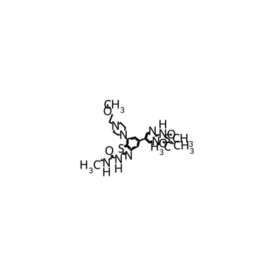 CCNC(=O)Nc1nc2cc(-c3cnc(NS(=O)(=O)C(C)(C)C)nc3)cc(N3CCN(CCOC)CC3)c2s1